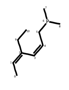 C/C=C(\C=C/CP(C)C)CC